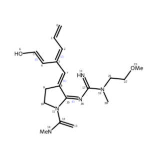 C=C/C=C(\C=C\O)/C=C1\CCN(C(=C)NC)\C1=N\C(=N)N(C)CCOC